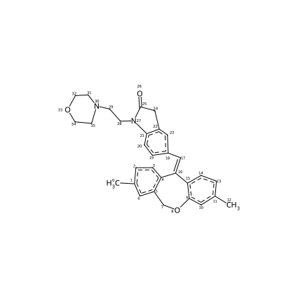 Cc1ccc2c(c1)COc1cc(C)ccc1/C2=C/c1ccc2c(c1)CC(=O)N2CCN1CCOCC1